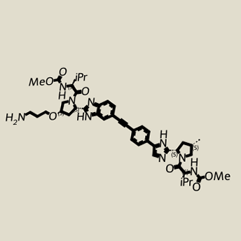 COC(=O)N[C@H](C(=O)N1C[C@@H](C)C[C@H]1c1ncc(-c2ccc(C#Cc3ccc4nc([C@@H]5C[C@H](OCCCN)CN5C(=O)[C@@H](NC(=O)OC)C(C)C)[nH]c4c3)cc2)[nH]1)C(C)C